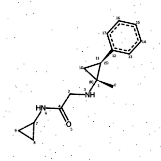 C[C@@]1(NCC(=O)NC2CC2)C[C@H]1c1ccccc1